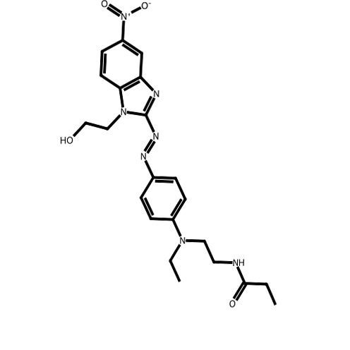 CCC(=O)NCCN(CC)c1ccc(N=Nc2nc3cc([N+](=O)[O-])ccc3n2CCO)cc1